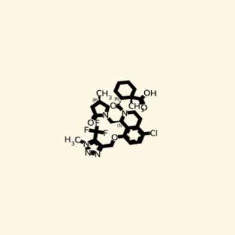 C[C@@H]1CC(=O)N(C[C@@H]2c3c(OCc4nnn(C)c4C(F)(F)F)ccc(Cl)c3CCN2C(=O)[C@@H]2CCCC[C@]2(C)C(=O)O)C1